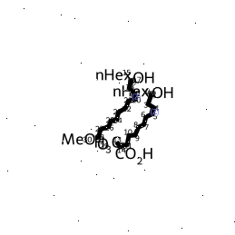 CCCCCC[C@@H](O)C/C=C\CCCCCCC(C)C(=O)O.CCCCCC[C@@H](O)C/C=C\CCCCCCCC(=O)OC